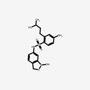 CC(O)CCc1cc(N)ccc1S(=O)(=O)Nc1ccc2c(c1)B(O)OC2